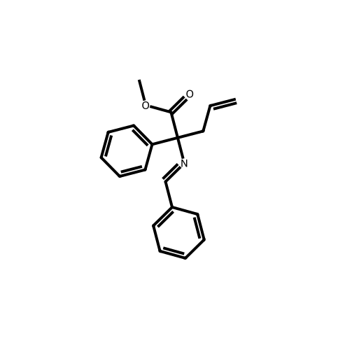 C=CCC(N=Cc1ccccc1)(C(=O)OC)c1ccccc1